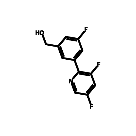 OCc1cc(F)cc(-c2ncc(F)cc2F)c1